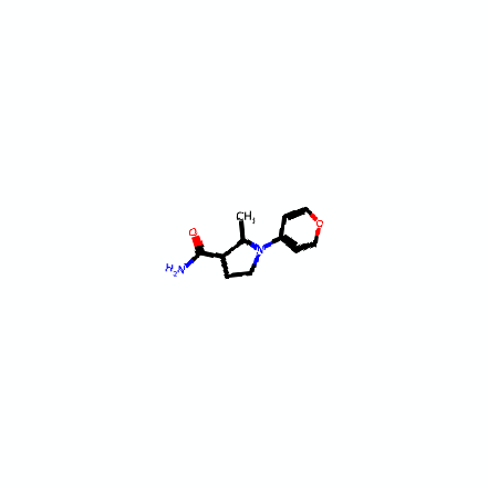 CC1C(C(N)=O)CCN1C1=CCOC=C1